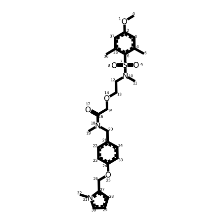 COc1cc(C)c(S(=O)(=O)N(C)CCOCC(=O)N(C)Cc2ccc(OCc3cccn3C)cc2)c(C)c1